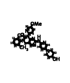 COc1ccc(N2C(=O)N(c3c(C)cccc3C)Cc3cnc(Nc4ccc(N5CCC(O)CC5)cn4)nc32)nc1